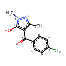 Cc1nn(C)c(O)c1C(=O)c1ccc(Cl)cc1